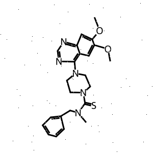 COc1cc2ncnc(N3CCN(C(=S)N(C)Cc4ccccc4)CC3)c2cc1OC